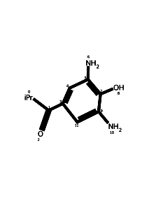 CC(C)C(=O)c1cc(N)c(O)c(N)c1